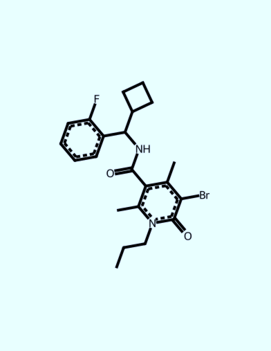 CCCn1c(C)c(C(=O)NC(c2ccccc2F)C2CCC2)c(C)c(Br)c1=O